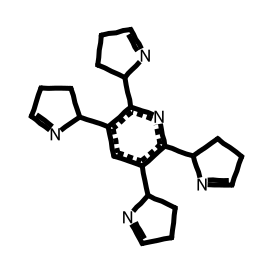 C1=NC(c2cc(C3CCC=N3)c(C3CCC=N3)nc2C2CCC=N2)CC1